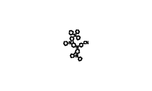 N#Cc1ccc(N(c2ccc3c(c2)c2ccccc2n3-c2ccccc2)c2ccc3c(c2)c2cc([Si](c4ccccc4)(c4ccccc4)c4ccccc4)ccc2n3-c2ccccc2)cc1